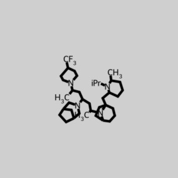 CC(CC(CC(C)N1C2CCCC1(CC1CCCC(C)N1C(C)C)CC2)N1CC2CCC(C2)C1)N1CCC(C(F)(F)F)CC1